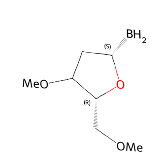 B[C@H]1CC(OC)[C@@H](COC)O1